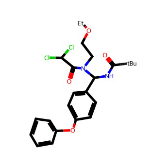 CCOCCN(C(=O)C(Cl)Cl)C(NC(=O)C(C)(C)C)c1ccc(Oc2ccccc2)cc1